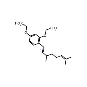 CC(C)=CCCC(C)/C=C/c1ccc(OCC(=O)O)cc1OCC(=O)O